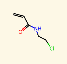 C=CC(=O)NCCCl